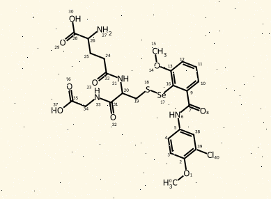 COc1ccc(NC(=O)c2cccc(OC)c2[Se]SCC(NC(=O)CCC(N)C(=O)O)C(=O)NCC(=O)O)cc1Cl